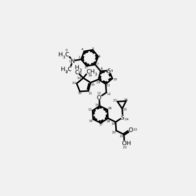 CN(C)c1cccc(-c2scc(COc3cccc(C(CC(=O)O)SC4CC4)c3)c2C2=CCCC2(C)C)c1